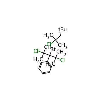 CC(C)(C)CC(C)(C)Cl.CCC(c1ccccc1)(C(C)(C)Cl)C(C)(C)Cl